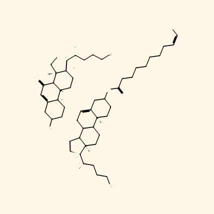 CC(C)CCC[C@@H](C)[C@H]1CC[C@H]2[C@@H]3C(=O)C=C4CC(O)CC[C@]4(C)[C@H]3CC[C@]12C.CCCCCCCC/C=C\CCCCCCCC(=O)OC1CC[C@@]2(C)C(=CCC3C2CC[C@@]2(C)C3CC[C@@H]2[C@H](C)CCCC(C)C)C1